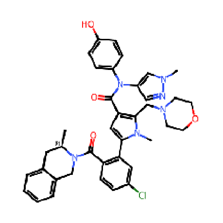 C[C@@H]1Cc2ccccc2CN1C(=O)c1ccc(Cl)cc1-c1cc(C(=O)N(c2ccc(O)cc2)c2cnn(C)c2)c(CN2CCOCC2)n1C